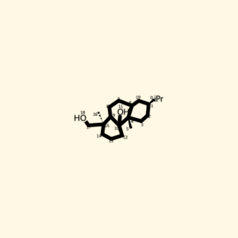 CC(C)[C@H]1CC[C@@]2(C)C(CCC3C2(O)CCC[C@@]3(C)CO)C1